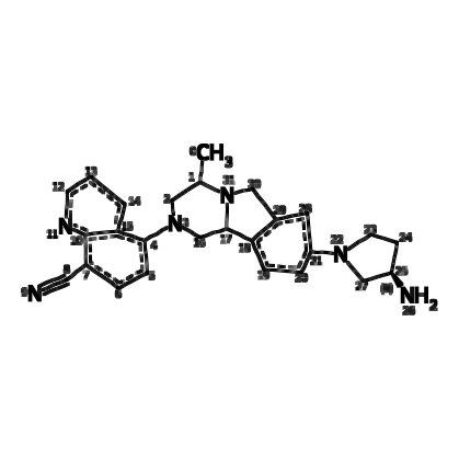 CC1CN(c2ccc(C#N)c3ncccc23)CC2c3ccc(N4CC[C@@H](N)C4)cc3CN12